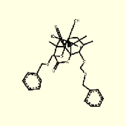 CC1=C(O)C(=O)C2(O)C3(C)CC(=O)OC4(C(OCOCc5ccccc5)C(C)CCC34OCOCc3ccccc3)C12O